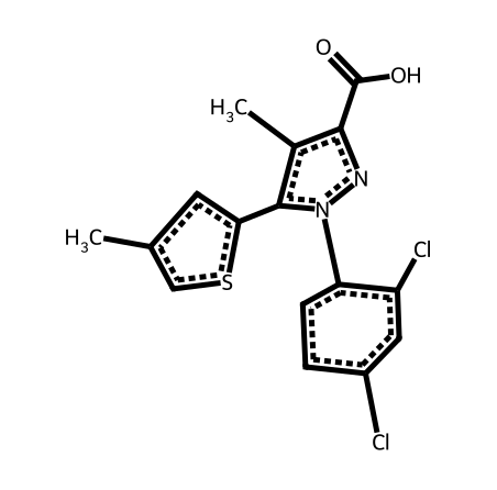 Cc1csc(-c2c(C)c(C(=O)O)nn2-c2ccc(Cl)cc2Cl)c1